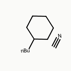 C#N.CCCCC1CCCCC1